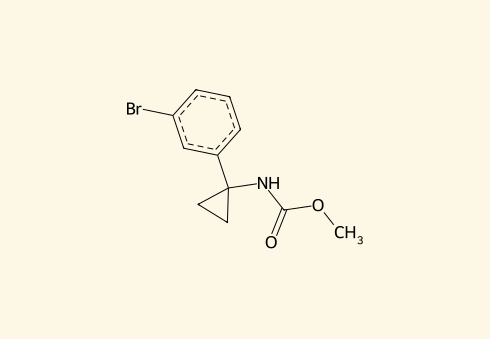 COC(=O)NC1(c2cccc(Br)c2)CC1